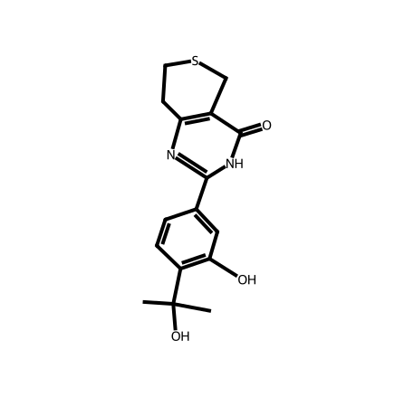 CC(C)(O)c1ccc(-c2nc3c(c(=O)[nH]2)CSCC3)cc1O